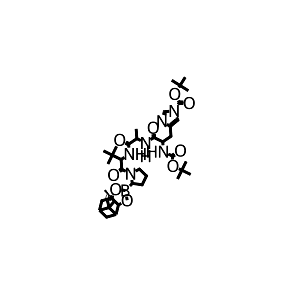 CC(NC(=O)C(Cc1cn(C(=O)OC(C)(C)C)cn1)NC(=O)OC(C)(C)C)C(=O)NC(C(=O)N1CCCC1B1OC2C3CC(C[C@]2(C)O1)C3(C)C)C(C)(C)C